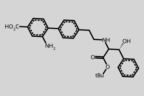 CC(C)(C)OC(=O)C(NCCc1ccc(-c2ccc(C(=O)O)cc2N)cc1)[C@H](O)c1ccccc1